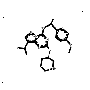 COc1ccc(C(C)Nc2nc(O[C@@H]3CCCNC3)nc3c(C(C)C)cnn23)cc1